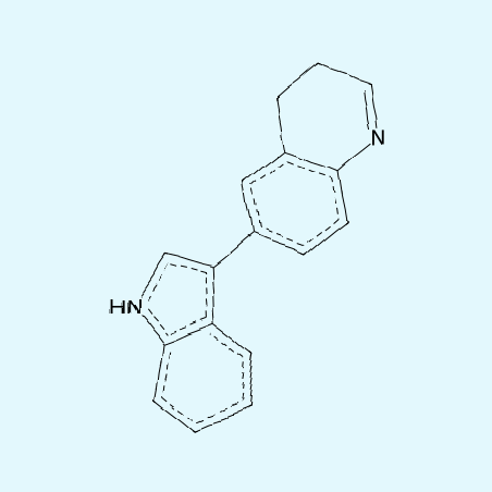 C1=Nc2ccc(-c3c[nH]c4ccccc34)cc2CC1